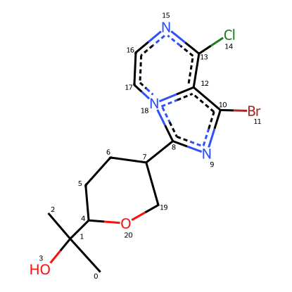 CC(C)(O)C1CCC(c2nc(Br)c3c(Cl)nccn23)CO1